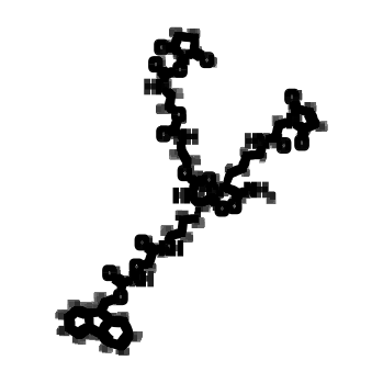 NC(=O)[C@H](CCCCNC(=O)CN1C(=O)C=CC1=O)NC(=O)[C@H](CCCCNC(=O)CONC(=O)OCC1c2ccccc2-c2ccccc21)NC(=O)OCCNC(=O)OCCNC(=O)ON1C(=O)CCC1=O